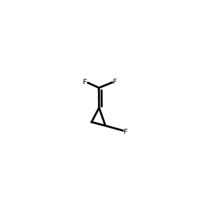 FC(F)=C1CC1F